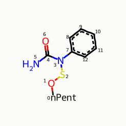 CCCCCOSN(C(N)=O)c1ccccc1